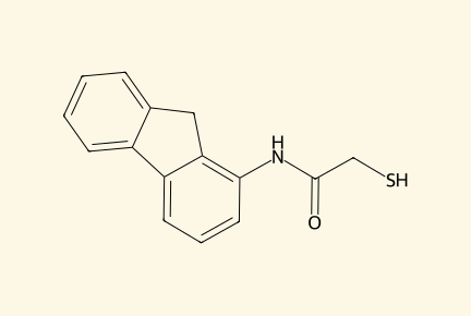 O=C(CS)Nc1cccc2c1Cc1ccccc1-2